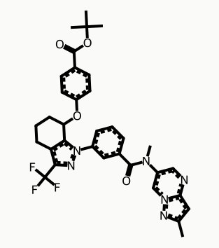 Cc1cc2ncc(N(C)C(=O)c3cccc(-n4nc(C(F)(F)F)c5c4C(Oc4ccc(C(=O)OC(C)(C)C)cc4)CCC5)c3)cn2n1